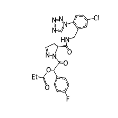 CCC(=O)OC(C(=O)N1N=CC[C@H]1C(=O)NCc1cc(Cl)ccc1-n1cnnn1)c1ccc(F)cc1